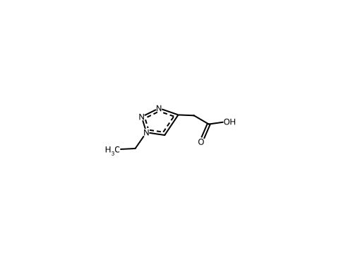 CCn1cc(CC(=O)O)nn1